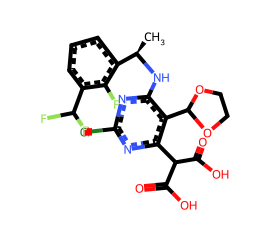 C[C@@H](Nc1nc(Cl)nc(C(C(=O)O)C(=O)O)c1C1OCCO1)c1cccc(C(F)F)c1F